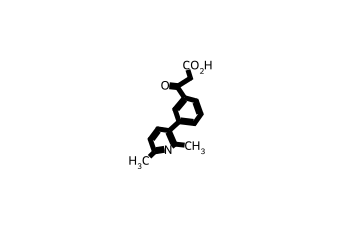 Cc1ccc(-c2cccc(C(=O)CC(=O)O)c2)c(C)n1